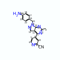 Cc1nc(-c2ccnc(C#N)c2)c2cnn(Cc3ccc(N)cc3)c2n1